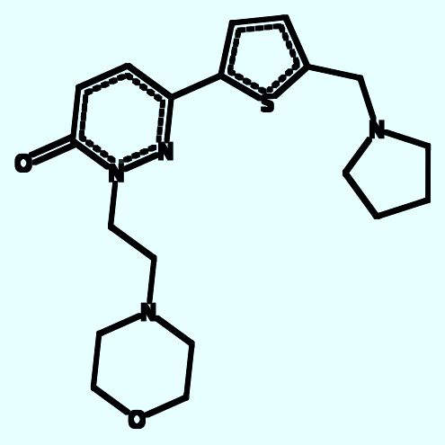 O=c1ccc(-c2ccc(CN3CCCC3)s2)nn1CCN1CCOCC1